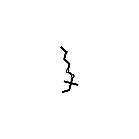 C[CH]CCOOC(C)(C)CC